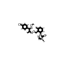 CON=C(C(C)=NOCc1c(C)cccc1-n1nnn(C)c1=O)c1ccc(Cl)cc1